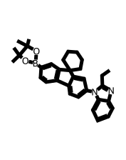 CCc1nc2ccccc2n1-c1ccc2c(c1)C1(CCCCC1)c1cc(B3OC(C)(C)C(C)(C)O3)ccc1-2